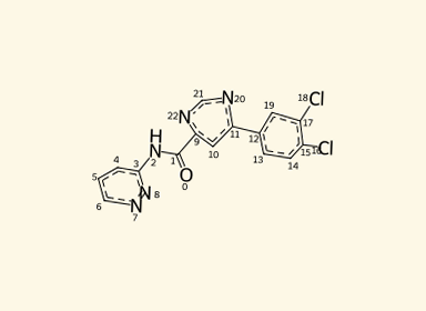 O=C(Nc1cccnn1)c1cc(-c2ccc(Cl)c(Cl)c2)ncn1